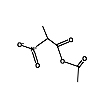 CC(=O)OC(=O)C(C)[N+](=O)[O-]